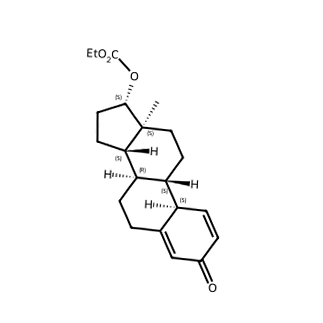 CCOC(=O)O[C@H]1CC[C@H]2[C@@H]3CCC4=CC(=O)C=C[C@@H]4[C@H]3CC[C@]12C